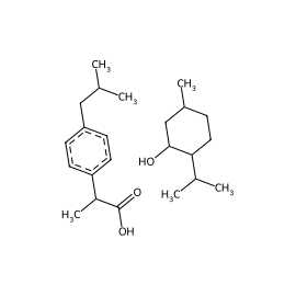 CC(C)Cc1ccc(C(C)C(=O)O)cc1.CC1CCC(C(C)C)C(O)C1